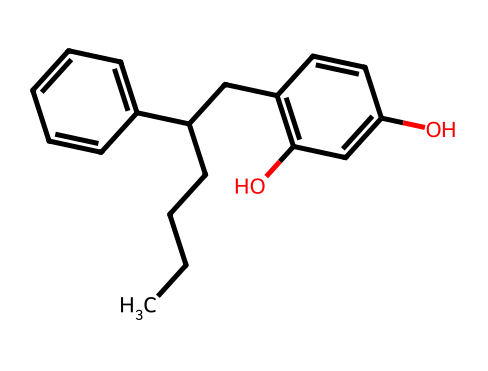 CCCCC(Cc1ccc(O)cc1O)c1ccccc1